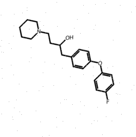 OC(CCN1CCCCC1)Cc1ccc(Oc2ccc(F)cc2)cc1